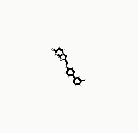 Cc1cccc(-c2ccc(OCC3Cn4ccc(=O)nc4O3)cc2)c1